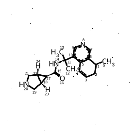 CC1CC=Cc2c1cncc2C(C)(C)NC(=O)[C@H]1[C@@H]2CNC[C@@H]21